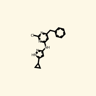 Clc1nc(Cc2ccccc2)cc(Nc2cc(C3CC3)[nH]n2)n1